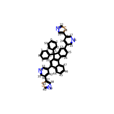 c1ccc(C2(c3ccccc3)c3cc(-c4cncc(-c5cncs5)c4)ccc3-c3c2cc(-c2cncc(-c4cncs4)c2)c2ccccc32)cc1